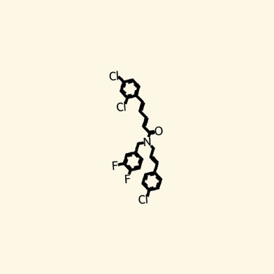 O=C(C=CC=Cc1ccc(Cl)cc1Cl)N(CC=Cc1ccc(Cl)cc1)Cc1ccc(F)c(F)c1